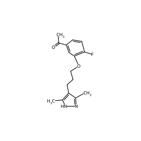 CC(=O)c1ccc(F)c(OCCCc2c(C)n[nH]c2C)c1